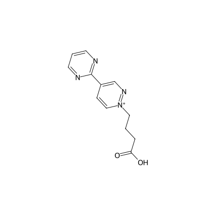 O=C(O)CCC[n+]1ccc(-c2ncccn2)cn1